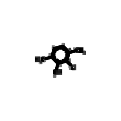 Cc1ccc(C)c(Cl)c1O